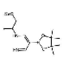 COC[C@H](C)N/C=C(\C=N)B1OC(C)(C)C(C)(C)O1